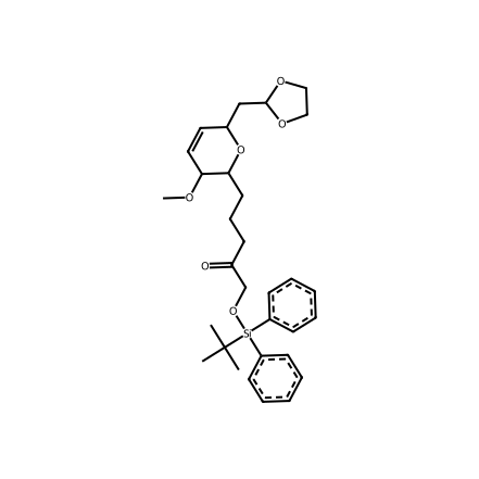 COC1C=CC(CC2OCCO2)OC1CCCC(=O)CO[Si](c1ccccc1)(c1ccccc1)C(C)(C)C